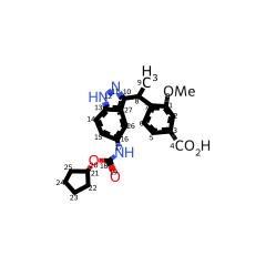 COc1cc(C(=O)O)ccc1C(C)c1n[nH]c2ccc(NC(=O)OC3CCCC3)cc12